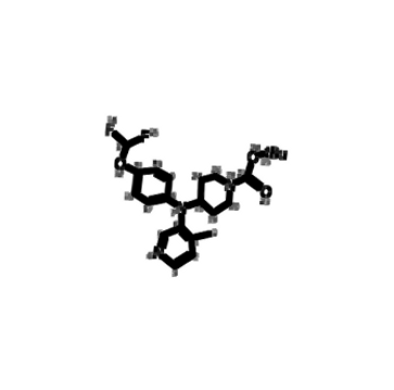 Cc1ccncc1N(c1ccc(OC(F)F)cc1)C1CCN(C(=O)OC(C)(C)C)CC1